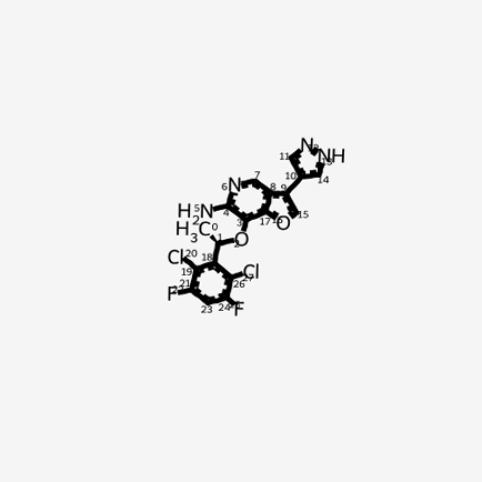 C[C@@H](Oc1c(N)ncc2c(-c3cn[nH]c3)coc12)c1c(Cl)c(F)cc(F)c1Cl